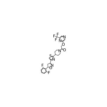 O=C(COc1cncc(C(F)(F)F)n1)N1CCC(c2nc(C3=NOC(c4c(F)cccc4F)C3)cs2)CC1